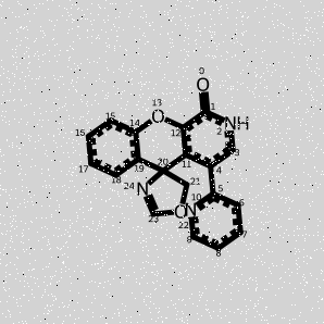 O=c1[nH]cc(-c2ccccn2)c2c1Oc1ccccc1C21COC=N1